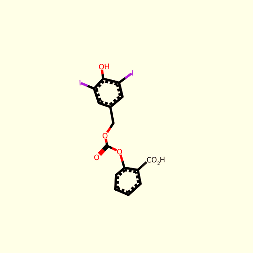 O=C(OCc1cc(I)c(O)c(I)c1)Oc1ccccc1C(=O)O